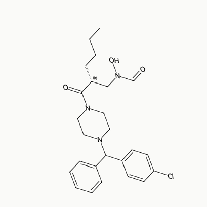 CCCC[C@H](CN(O)C=O)C(=O)N1CCN(C(c2ccccc2)c2ccc(Cl)cc2)CC1